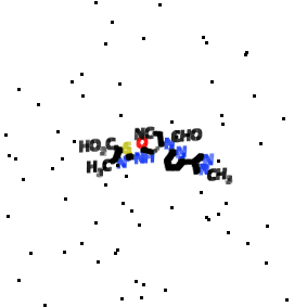 Cc1nc(NC(=O)C[C@H](CC#N)N(C=O)c2cccc(-c3cnn(C)c3)n2)sc1C(=O)O